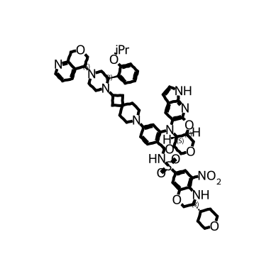 CC(C)Oc1ccccc1[C@@H]1CN([C@@H]2COCc3ncccc32)CCN1C1CC2(CCN(c3ccc(C(=O)NS(=O)(=O)c4cc5c(c([N+](=O)[O-])c4)N[C@H](C4CCOCC4)CO5)c(N4c5cc6cc[nH]c6nc5O[C@H]5COCC[C@@H]54)c3)CC2)C1